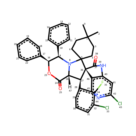 CC1(C)CCC2(CC1)N1[C@H](c3ccccc3)[C@H](c3ccccc3)OC(=O)[C@H]1[C@H](c1cccc(Cl)c1F)[C@@]21C(=O)Nc2cc(Cl)ncc21